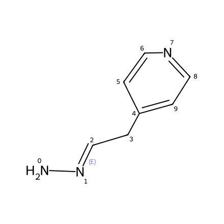 N/N=C/Cc1ccncc1